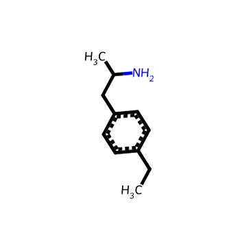 CCc1ccc(CC(C)N)cc1